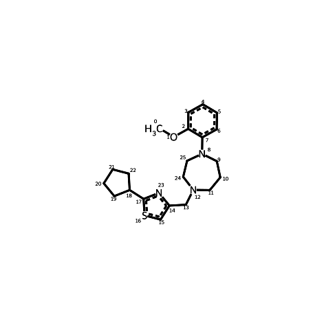 COc1ccccc1N1CCCN(Cc2csc(C3CCCC3)n2)CC1